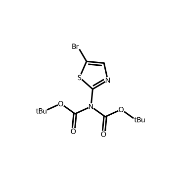 CC(C)(C)OC(=O)N(C(=O)OC(C)(C)C)c1ncc(Br)s1